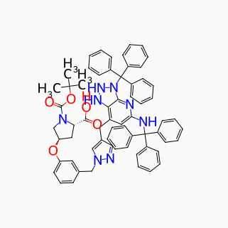 CC(C)(C)OC(=O)N1C[C@H](Oc2cccc(Cn3cc(Cc4cc(NC(c5ccccc5)(c5ccccc5)c5ccccc5)nc5c4NNN5C(c4ccccc4)(c4ccccc4)c4ccccc4)cn3)c2)C[C@H]1C(=O)O